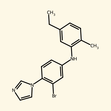 CCc1ccc(C)c(Nc2ccc(-n3ccnc3)c(Br)c2)c1